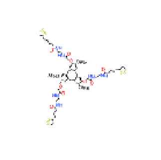 COc1cc2c(cc1COCC(=O)NCCNC(=O)CCCC1CCSS1)Cc1cc(OC)c(OCC(=O)NCCNC(=O)CCCCC3CCSS3)cc1Cc1cc(OC)c(OCC(=O)NCCNC(=O)CCCCC3CCSS3)cc1C2